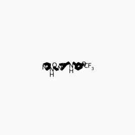 O=C(CN1CC2C(CNCc3cccc(OC(F)(F)F)c3)C2C1)Nc1cccnc1